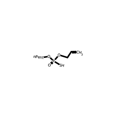 C=CCOP(=O)(S)OCCCCC